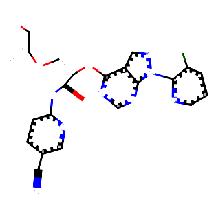 C[C@H](CO)OC[C@H](Oc1ncnc2c1cnn2-c1ncccc1Cl)C(=O)Nc1ccc(C#N)cn1